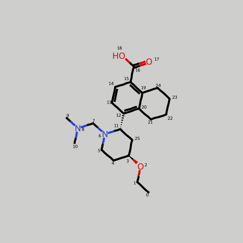 CCO[C@H]1CCN(CN(C)C)[C@H](c2ccc(C(=O)O)c3c2CCCC3)C1